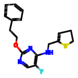 Fc1cnc(OCCc2ccccc2)nc1NCC1=CCCS1